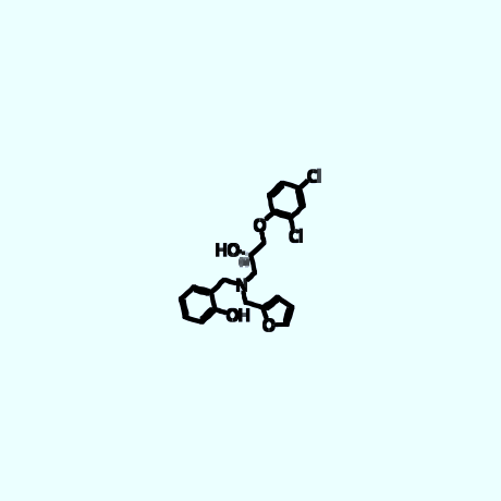 Oc1ccccc1CN(Cc1ccco1)C[C@H](O)COc1ccc(Cl)cc1Cl